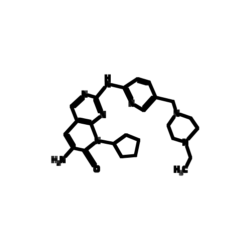 CCN1CCN(Cc2ccc(Nc3ncc4cc(N)c(=O)n(C5CCCC5)c4n3)nc2)CC1